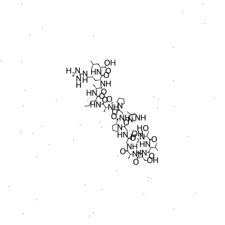 CC[C@H](C)[C@H](NC(=O)[C@H](C)NC(=O)[C@@H]1CCCN1C(=O)[C@H](Cc1c[nH]cn1)NC(=O)[C@@H]1CCCN1C(=O)[C@H](CO)NC(=O)CNC(=O)[C@H](C)NC(=O)[C@H](CO)NC(=O)[C@@H](NC(=O)[C@@H](N)CO)C(C)C)C(=O)N[C@@H](C)C(=O)N[C@@H](CCCNC(=N)N)C(=O)N[C@@H](CC(C)C)C(=O)O